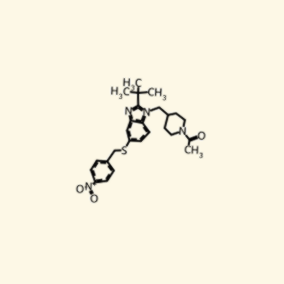 CC(=O)N1CCC(Cn2c(C(C)(C)C)nc3cc(SCc4ccc([N+](=O)[O-])cc4)ccc32)CC1